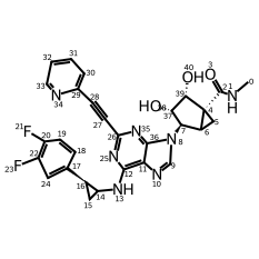 CNC(=O)[C@]12CC1[C@@H](n1cnc3c(NC4C[C@H]4c4ccc(F)c(F)c4)nc(C#Cc4ccccn4)nc31)[C@H](O)[C@@H]2O